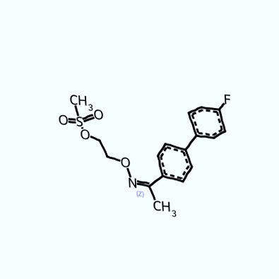 C/C(=N/OCCOS(C)(=O)=O)c1ccc(-c2ccc(F)cc2)cc1